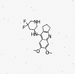 COc1cc2nc3c(c(N[C@@H]4CNCC(F)(F)C4)c2cc1OC)CCC3